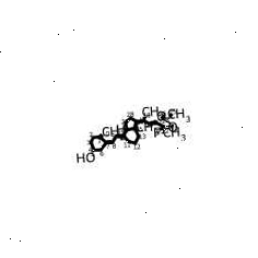 C=C1CC[C@H](O)C/C1=C/C=C1\CCC[C@]2(C)C(C(C)/C=C/[C@](C)(F)S(C)(=O)=O)CC[C@@H]12